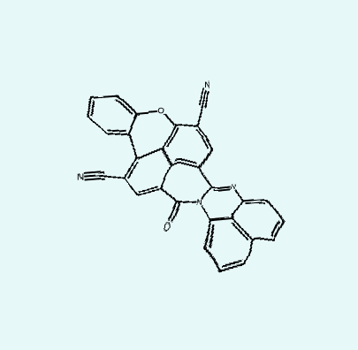 N#Cc1cc2c3c4c1Oc1ccccc1-c4c(C#N)cc3c(=O)n1c3cccc4cccc(nc21)c43